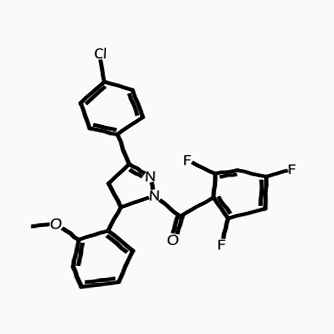 COc1ccccc1C1CC(c2ccc(Cl)cc2)=NN1C(=O)c1c(F)cc(F)cc1F